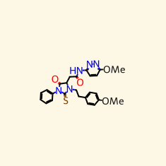 COc1ccc(CCN2C(=S)N(c3ccccc3)C(=O)C2CC(=O)Nc2ccc(OC)nn2)cc1